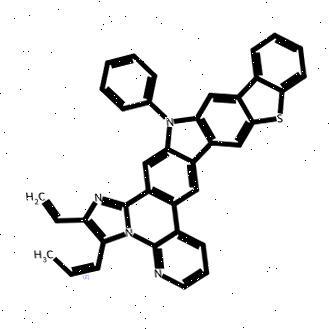 C=Cc1nc2c3cc4c(cc3c3cccnc3n2c1/C=C\C)c1cc2sc3ccccc3c2cc1n4-c1ccccc1